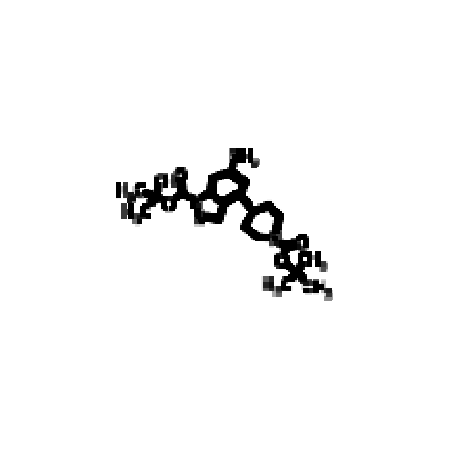 CC(C)(C)OC(=O)N1CCC(c2cc(N)cc3c2cnn3C(=O)OC(C)(C)C)CC1